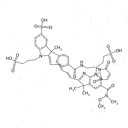 CON(C)C(=O)c1cc2c([n+](CCCS(=O)(=O)O)c1)N=C(/C=C/C=C/C=C1/N(CCCS(=O)(=O)O)c3ccc(S(=O)(=O)O)cc3C1(C)c1ccc(C(=O)NCCN3C(=O)C=CC3=O)cc1)C2(C)C